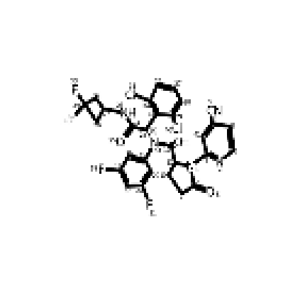 N#Cc1ccnc(N2C(=O)CCC2C(=O)N(c2cc(F)cc(F)c2)[C@H](C(=O)NC2CC(F)(F)C2)c2c(Cl)cccc2Cl)c1